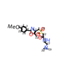 COc1ccc(-c2nc(CS(=O)(=O)CC(=O)NCCN(C)C)c(C)o2)cc1